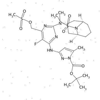 CCS(=O)(=O)N1[C@@H]2CCC[C@H]1C[C@H](N(C)c1nc(COS(C)(=O)=O)c(F)c(Nc3cc(C)n(C(=O)OC(C)(C)C)n3)n1)C2